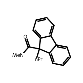 CCCC1(C(=O)NC)c2ccccc2-c2ccccc21